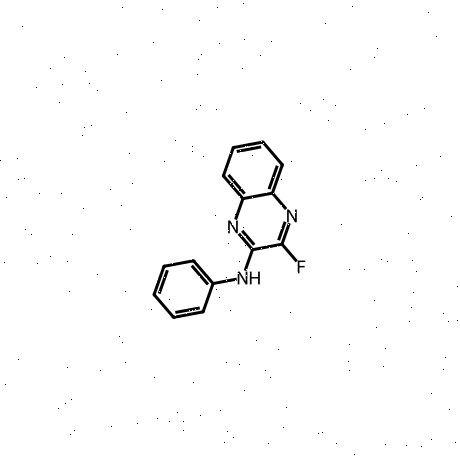 Fc1nc2ccccc2nc1Nc1ccccc1